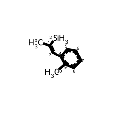 CC([SiH3])=Cc1ccccc1C